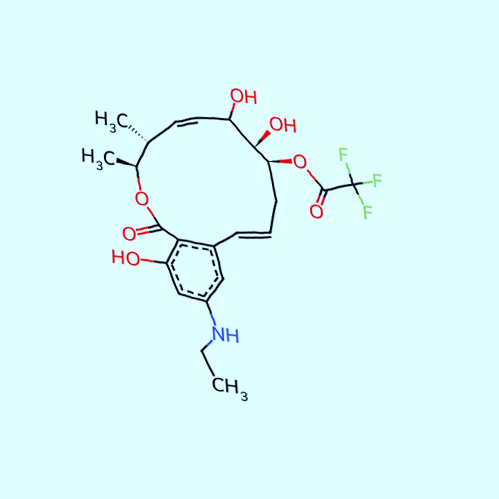 CCNc1cc(O)c2c(c1)/C=C/C[C@H](OC(=O)C(F)(F)F)[C@H](O)C(O)/C=C\[C@@H](C)[C@H](C)OC2=O